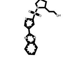 O=S(=O)(c1cc(-c2nc3ccccc3s2)cs1)N1CCCC1CCO